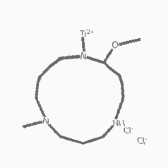 COC1CCNCCCN(C)CCC[N]1[Ti+2].[Cl-].[Cl-]